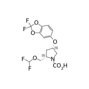 O=C(O)N1C[C@@H](Oc2ccc3c(c2)OC(F)(F)O3)C[C@H]1COC(F)F